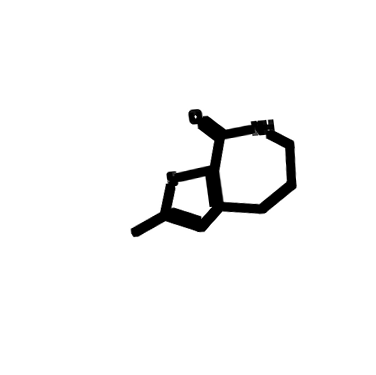 Cc1cc2c(s1)C(=O)NCCC2